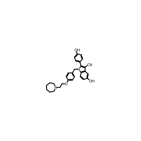 N#Cc1c(-c2ccc(O)cc2)n(Cc2ccc(OCCN3CCCCCC3)cc2)c2ccc(O)cc12